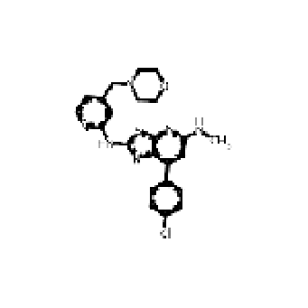 CNc1cc(-c2ccc(Cl)cc2)c2nc(Nc3cc(CN4CCOCC4)ccn3)sc2n1